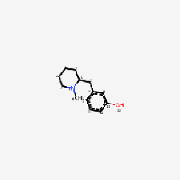 CN1CCCCC1Cc1cccc(O)c1